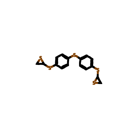 c1cc(SC2CS2)ccc1Sc1ccc(SC2CS2)cc1